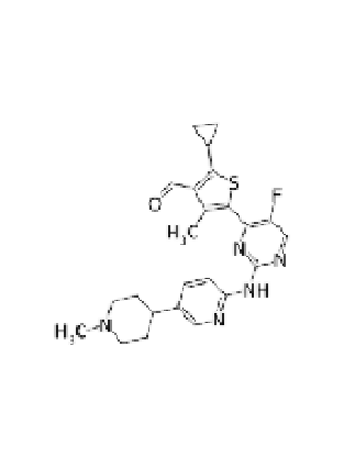 Cc1c(-c2nc(Nc3ccc(C4CCN(C)CC4)cn3)ncc2F)sc(C2CC2)c1C=O